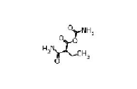 CCC(C(N)=O)C(=O)OC(N)=O